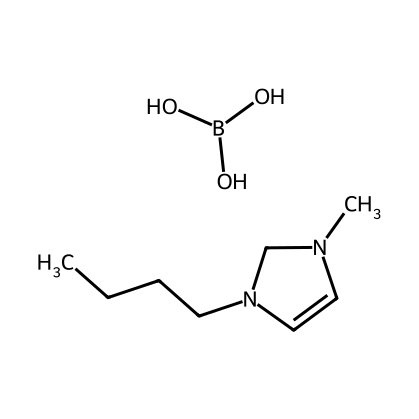 CCCCN1C=CN(C)C1.OB(O)O